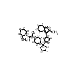 Cc1nc2ccncn2c1-c1csc(C2(c3ccc(C(=O)Nc4ccccc4N)cc3)CCCC2)n1